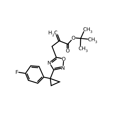 C=C(Cc1nc(C2(c3ccc(F)cc3)CC2)no1)C(=O)OC(C)(C)C